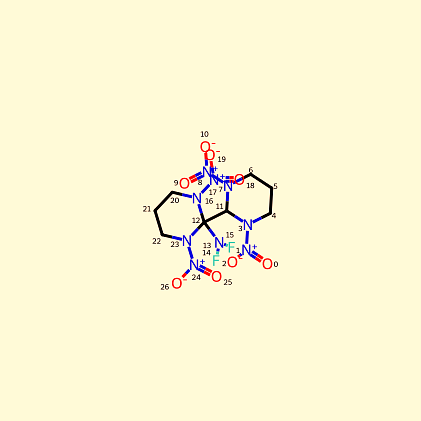 O=[N+]([O-])N1CCCN([N+](=O)[O-])C1C1(N(F)F)N([N+](=O)[O-])CCCN1[N+](=O)[O-]